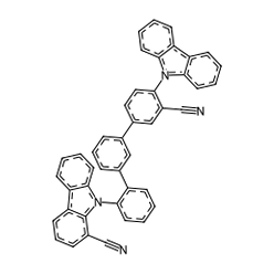 N#Cc1cc(-c2cccc(-c3ccccc3-n3c4ccccc4c4cccc(C#N)c43)c2)ccc1-n1c2ccccc2c2ccccc21